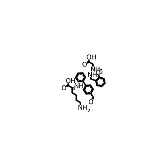 COc1ccccc1CN.NCC(=O)O.NCCCC[C@@H](N)C(=O)O.O=Cc1ccc(-c2ccccc2)cc1